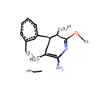 CCCC.CCOC1=NC(N)=C(C(=O)O)C(c2ccccc2C(F)(F)F)C1C(=O)O